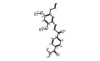 C=CCc1cc(/C=C/C(=O)c2ccc(C(=O)N(C)C)cc2)c(OCC)cc1OCC